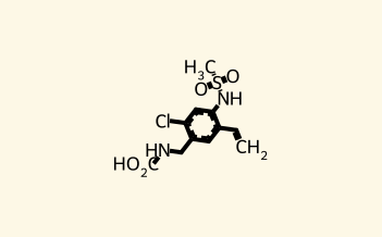 C=Cc1cc(CNC(=O)O)c(Cl)cc1NS(C)(=O)=O